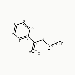 C=C(CNCCC)c1ccccc1